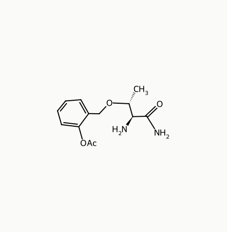 CC(=O)Oc1ccccc1CO[C@H](C)[C@H](N)C(N)=O